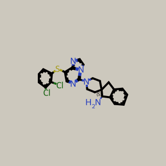 N[C@@H]1c2ccccc2CC12CCN(c1ncc(Sc3cccc(Cl)c3Cl)c3nccn13)CC2